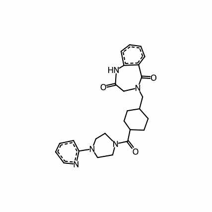 O=C1CN(CC2CCC(C(=O)N3CCN(c4ccccn4)CC3)CC2)C(=O)c2ccccc2N1